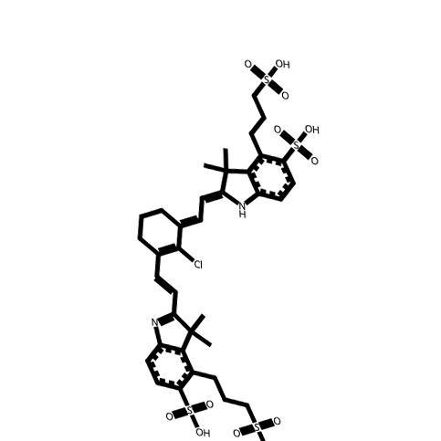 CC1(C)C(C=CC2=C(Cl)C(=CC=C3Nc4ccc(S(=O)(=O)O)c(CCCS(=O)(=O)O)c4C3(C)C)CCC2)=Nc2ccc(S(=O)(=O)O)c(CCCS(=O)(=O)O)c21